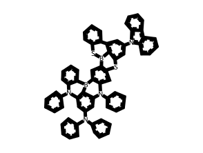 c1ccc(N(c2ccccc2)c2cc3c4c(c2)N(c2ccccc2)c2cc5c(cc2B4c2ccccc2N3c2ccccc2)B2Sc3ccccc3-c3cc(-n4c6ccccc6c6ccccc64)cc(c32)S5)cc1